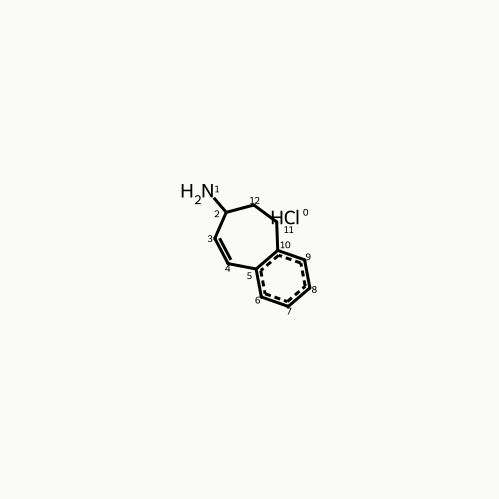 Cl.NC1C=Cc2ccccc2CC1